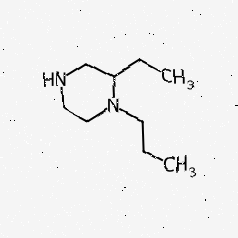 CCCN1CCNCC1CC